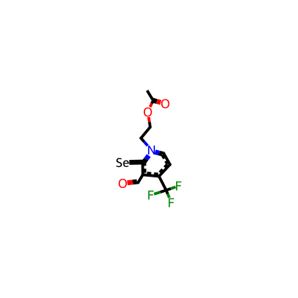 CC(=O)OCCn1ccc(C(F)(F)F)c(C=O)c1=[Se]